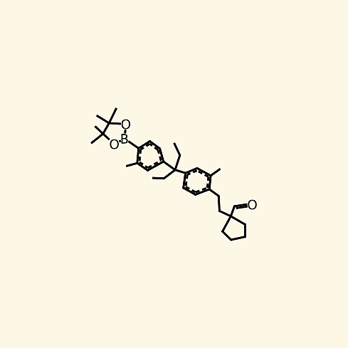 CCC(CC)(c1ccc(CCC2(C=O)CCCC2)c(C)c1)c1ccc(B2OC(C)(C)C(C)(C)O2)c(C)c1